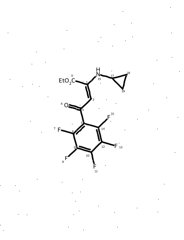 CCOC(=O)/C(=C\C(=O)c1c(F)c(F)c(F)c(F)c1F)NC1CC1